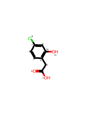 O=C(O)Cc1ccc(Cl)cc1O